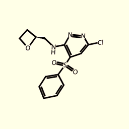 O=S(=O)(c1ccccc1)c1cc(Cl)nnc1NC[C@@H]1CCO1